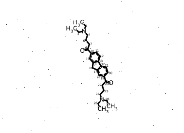 CCN(CC)CCCC(=O)c1ccc2c(c1)Cc1cc(C(=O)CCCN(CC)CC)ccc1-2